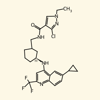 CCn1cc(C(=O)NCC2CCC[C@H](Nc3cc(C(F)(F)F)nc4ccc(C5CC5)cc34)C2)c(Cl)n1